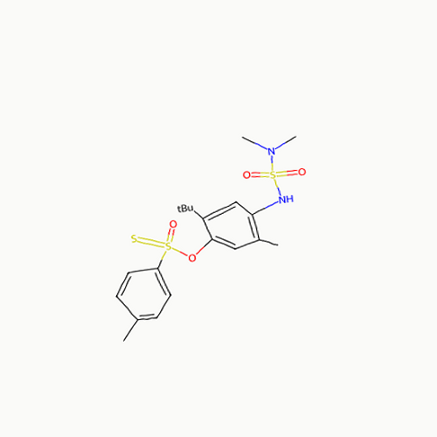 Cc1ccc(S(=O)(=S)Oc2cc(C)c(NS(=O)(=O)N(C)C)cc2C(C)(C)C)cc1